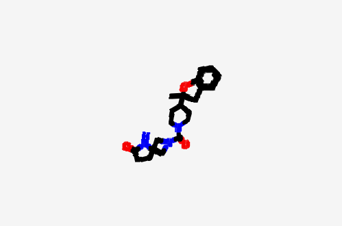 CC1(C2CCN(C(=O)N3CC4(CCC(=O)N4)C3)CC2)Cc2ccccc2O1